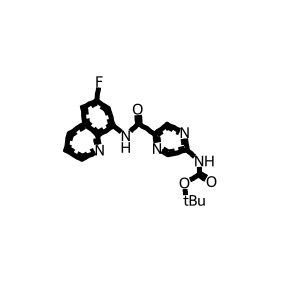 CC(C)(C)OC(=O)Nc1cnc(C(=O)Nc2cc(F)cc3cccnc23)cn1